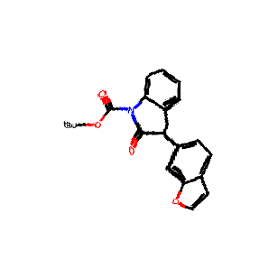 CC(C)(C)OC(=O)N1C(=O)C(c2ccc3ccoc3c2)c2ccccc21